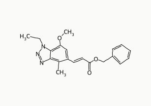 CCn1nnc2c(C)c(/C=C/C(=O)OCc3ccccc3)cc(OC)c21